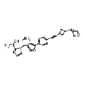 C[C@H](O)c1nccn1[C@H](CN)c1cc(-c2ccc(C#CC3CC(NC4COC4)C3)cc2)on1